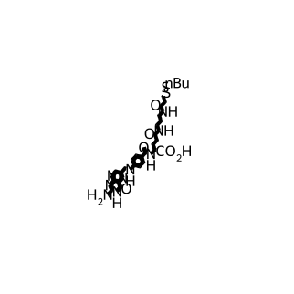 CCCCSSCCC(=O)NCCCNC(=O)CCC(NC(=O)c1ccc(NCc2cnc3nc(N)[nH]c(=O)c3n2)cc1)C(=O)O